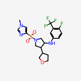 Cn1cnc(S(=O)(=O)N2CC(Nc3ccc(F)c(C(F)(F)F)c3)C(C3CCOC3)C2)c1